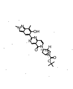 Cc1c(O)c(-c2ncc3c(=O)n([C@H]4CC5C[C@H]4CN5C(=O)OC(C)(C)C)ccc3n2)cc2cn(C)nc12